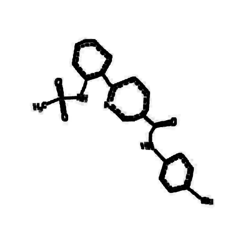 CC(C)(C)c1ccc(NC(=O)c2ccc(-c3ccccc3NS(C)(=O)=O)nc2)cc1